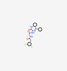 C[C@@H](NC(=O)Cc1cc(F)cc(F)c1)C(=O)N[C@@H]1N=C(c2ccccc2)c2ccccc2N(C)C1=O